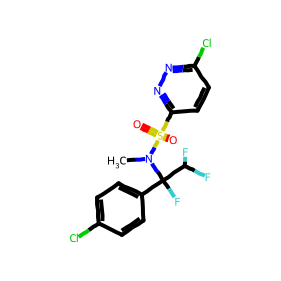 CN(C(F)(c1ccc(Cl)cc1)C(F)F)S(=O)(=O)c1ccc(Cl)nn1